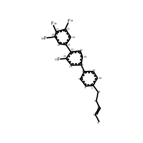 C/C=C/CCc1ccc(-c2ccc(-c3cc(F)c(F)c(F)c3)c(F)c2)cc1